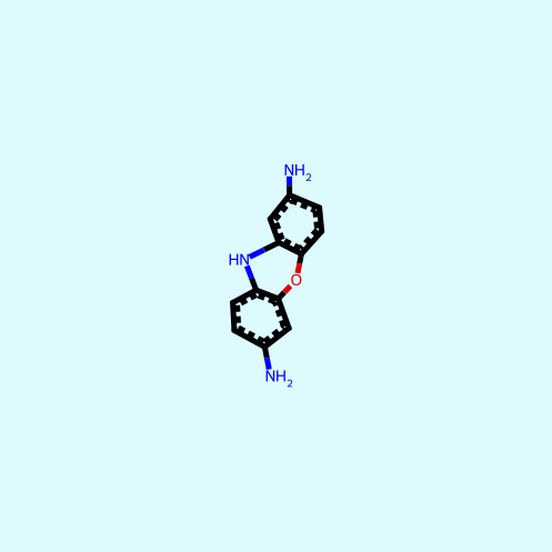 Nc1ccc2c(c1)Nc1ccc(N)cc1O2